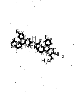 Cc1cnc2ccc(-c3nc(C#N)c(Nc4nc5ccc(-c6nc(CN)c(N)nc6-c6ccc(F)cc6)cn5c4C)nc3-c3ccc(F)cc3)cn12